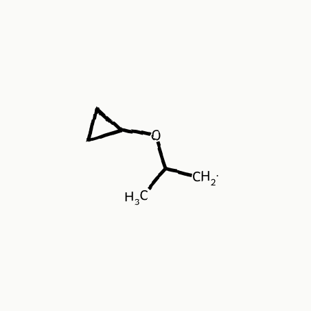 [CH2]C(C)OC1CC1